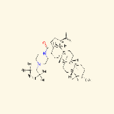 [2H]C([2H])([2H])C(N1CCN(C(=O)[C@]23CC[C@@H](C(=C)C)[C@@H]2[C@H]2CC[C@@H]4[C@@]5(C)CC[C@H](OC(C)=O)C(C)(C)[C@@H]5CC[C@@]4(C)[C@]2(C)CC3)CC1)C([2H])([2H])[2H]